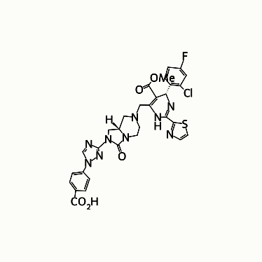 COC(=O)C1=C(CN2CCN3C(=O)N(c4ncn(-c5ccc(C(=O)O)cc5)n4)C[C@@H]3C2)NC(c2nccs2)=N[C@H]1c1ccc(F)cc1Cl